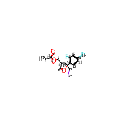 CC(C)C(=O)OC[C@@H]1COC(CI)(c2ccc(F)cc2F)C1